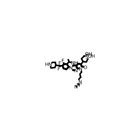 CC(Nc1ncnc2c1cc(C1CCS(O)(O)CC1)c(=O)n2CCCCN=[N+]=[N-])c1cccc(C(F)(F)C2CCNCC2)c1F